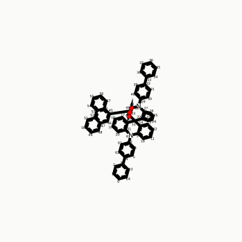 c1ccc(-c2ccc(N3c4ccccc4C4(c5ccccc53)c3ccccc3N(c3ccc(-c5ccccc5)cc3)c3ccc(-c5cc6ccccc6c6ccccc56)cc34)cc2)cc1